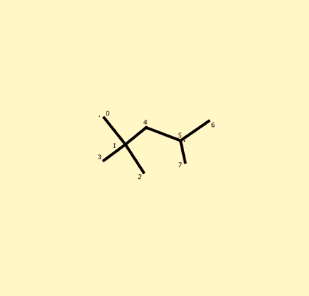 [CH2]C(C)(C)C[C](C)C